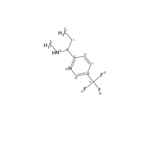 CCC(NC)c1ccc(C(F)(F)F)cn1